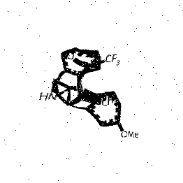 C=C1c2ccccc2[C@@]23C[C@@]14c1cc(OC)ccc1N(C(=O)C(F)(F)F)[C@@]24N3